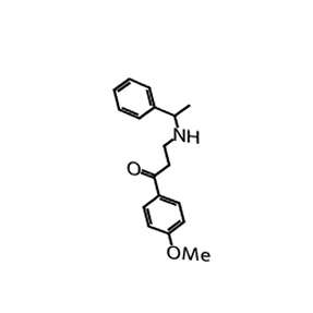 COc1ccc(C(=O)CCNC(C)c2ccccc2)cc1